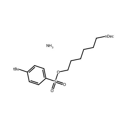 CCCCCCCCCCCCCCCCOS(=O)(=O)c1ccc(C(C)(C)C)cc1.N